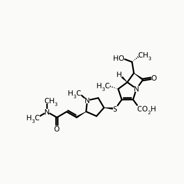 C[C@@H](O)[C@H]1C(=O)N2C(C(=O)O)=C(S[C@H]3C[C@@H](/C=C/C(=O)N(C)C)N(C)C3)[C@H](C)[C@H]12